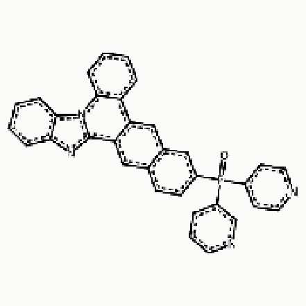 O=P(c1ccncc1)(c1cccnc1)c1ccc2cc3c(cc2c1)c1ccccc1n1c2ccccc2nc31